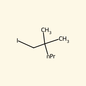 CCCC(C)(C)CI